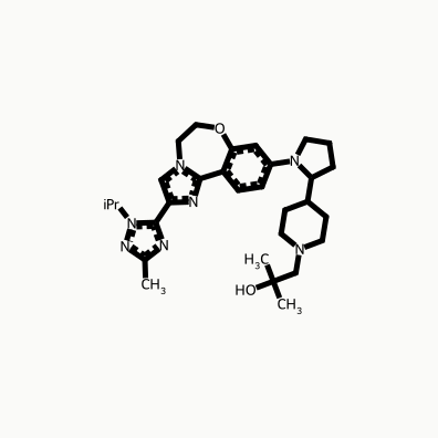 Cc1nc(-c2cn3c(n2)-c2ccc(N4CCCC4C4CCN(CC(C)(C)O)CC4)cc2OCC3)n(C(C)C)n1